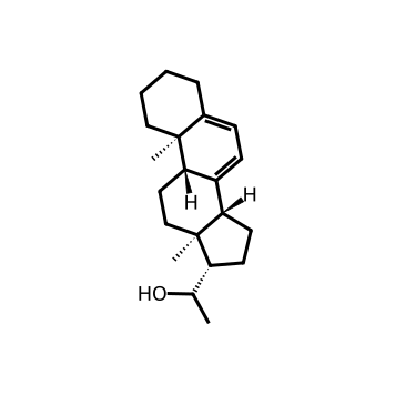 CC(O)[C@H]1CC[C@H]2C3=CC=C4CCCC[C@]4(C)[C@H]3CC[C@]12C